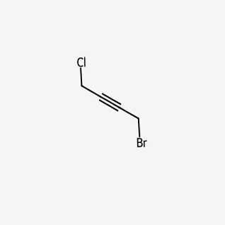 ClCC#CCBr